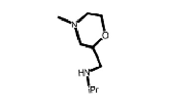 CC(C)NCC1CN(C)CCO1